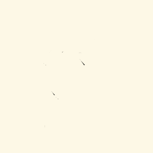 CS(=O)(=O)N[C@H]1CCCN(C(=O)[C@@H]2C[C@H]2c2ccc(F)cc2-c2c(F)cccc2F)C1